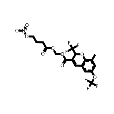 Cc1cc(OC(F)(F)F)cc2c1OC(C(F)(F)F)C(C(=O)OCOC(=O)CCCO[N+](=O)[O-])=C2